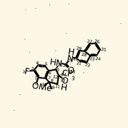 COc1c(F)ccc2c1C(C)(C)C[C@@](O)(C(F)(F)F)[C@@H]2NC(=O)Nc1ccc2ccccc2c1